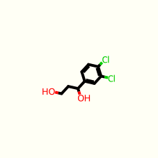 OCCC(O)c1ccc(Cl)c(Cl)c1